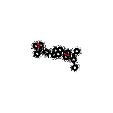 c1ccc(-c2ccc(N(c3ccccc3)c3ccc(-c4ccc5ccc6c(-c7ccc(N(c8ccccc8)c8ccccc8-c8ccccc8)cn7)ccc7ccc4c5c76)nc3)c(-c3ccccc3)c2)cc1